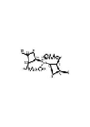 CO[Si](OC)(C1CC(C)C1C)C1CC(C)C1C